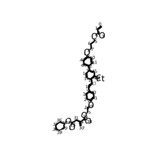 C=CC(=O)OCCCOc1ccc(-c2ccc(/C=C/c3ccc(OCCOC(=O)C(=C)CC(=O)OC4CCCCC4)cc3)c(CC)c2)cc1